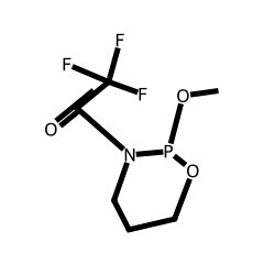 COP1OCCCN1C(=O)C(F)(F)F